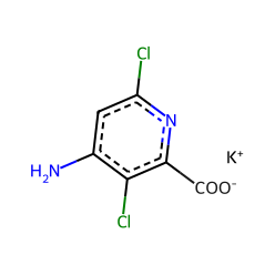 Nc1cc(Cl)nc(C(=O)[O-])c1Cl.[K+]